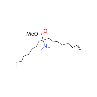 C=CCCCCCCC(CCCCCCC=C)(C(=O)OC)N(C)C